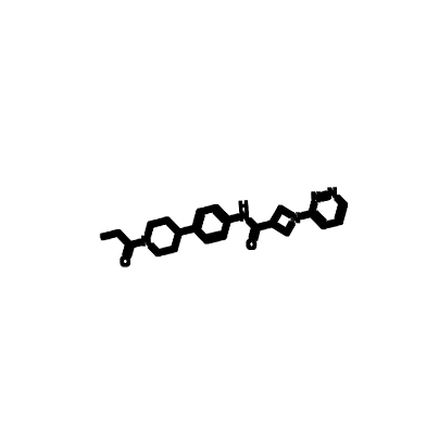 CCC(=O)N1CCC(c2ccc(NC(=O)C3CN(c4cccnn4)C3)cc2)CC1